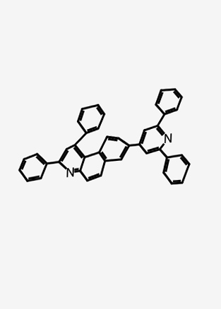 c1ccc(-c2cc(-c3ccc4c(ccc5nc(-c6ccccc6)cc(-c6ccccc6)c54)c3)cc(-c3ccccc3)n2)cc1